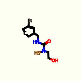 CCC1=CC(CNC(=O)N(S)CCO)CCC1